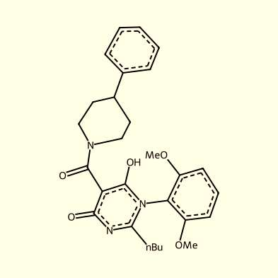 CCCCc1nc(=O)c(C(=O)N2CCC(c3ccccc3)CC2)c(O)n1-c1c(OC)cccc1OC